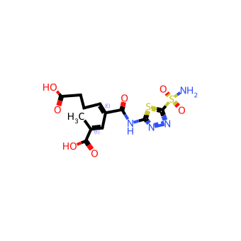 C/C(=C\C(=C/CCC(=O)O)C(=O)Nc1nnc(S(N)(=O)=O)s1)C(=O)O